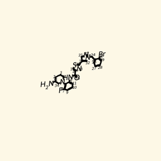 NC1CCCN(c2c(F)cccc2NC(=O)c2csc(-c3cnn(Cc4ccccc4Br)c3)n2)C1